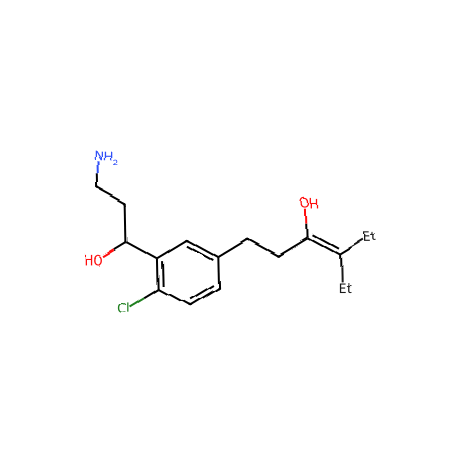 CCC(CC)=C(O)CCc1ccc(Cl)c(C(O)CCN)c1